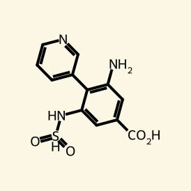 Nc1cc(C(=O)O)cc(N[SH](=O)=O)c1-c1cccnc1